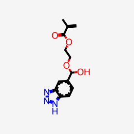 C=C(C)C(=O)OCCOC(O)c1ccc2[nH]nnc2c1